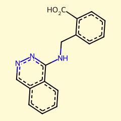 O=C(O)c1ccccc1CNc1nncc2ccccc12